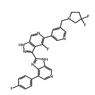 Fc1ccc(-c2cncc3[nH]c(-c4n[nH]c5cnc(-c6cncc(CN7CCC(F)(F)C7)c6)c(F)c45)nc23)cc1